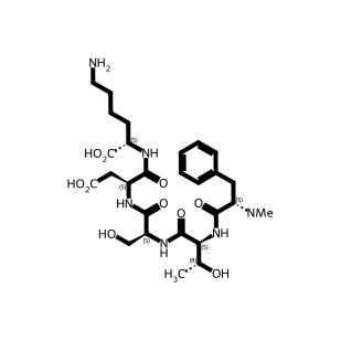 CN[C@@H](Cc1ccccc1)C(=O)N[C@H](C(=O)N[C@@H](CO)C(=O)N[C@@H](CC(=O)O)C(=O)N[C@@H](CCCCN)C(=O)O)[C@@H](C)O